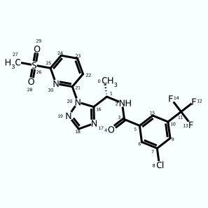 C[C@H](NC(=O)c1cc(Cl)cc(C(F)(F)F)c1)c1ncnn1-c1cccc(S(C)(=O)=O)n1